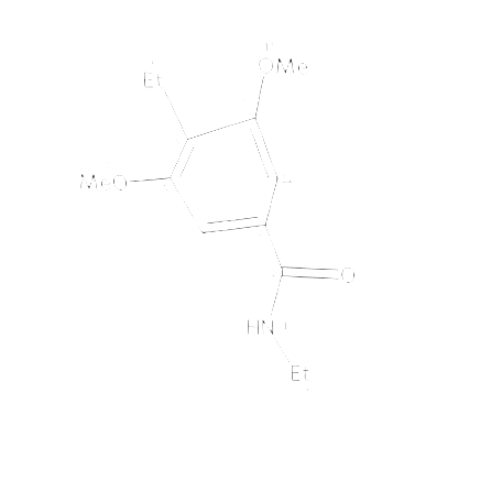 CCNC(=O)c1cc(OC)c(CC)c(OC)c1